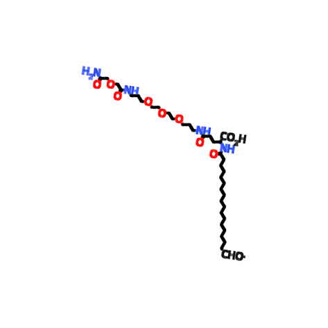 NC(=O)COCC(=O)NCCCOCCOCCOCCCNC(=O)CCC(NC(=O)CCCCCCCCCCCCCCCC[C]=O)C(=O)O